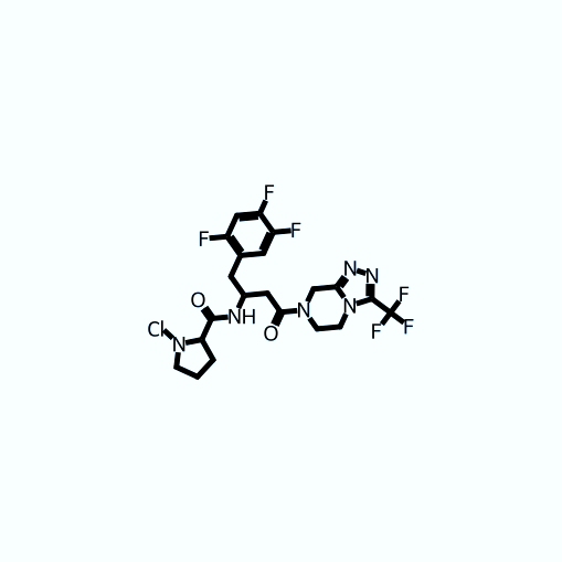 O=C(NC(CC(=O)N1CCn2c(nnc2C(F)(F)F)C1)Cc1cc(F)c(F)cc1F)C1CCCN1Cl